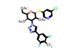 CC(=O)OCC1O[C@H](Sc2cncc(Cl)c2)C(OC(C)=O)C(n2cc(-c3cc(F)c(C(F)(F)F)c(F)c3)nn2)[C@H]1OC(C)=O